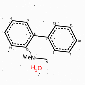 CNC.O.c1ccc(-c2ccccc2)cc1